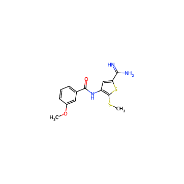 COc1cccc(C(=O)Nc2cc(C(=N)N)sc2SC)c1